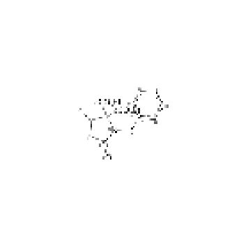 CCOC(=O)C1(C(=O)OCC)C(C)CC(=O)N1Cc1ccccc1